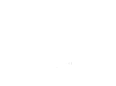 CCCCCCCCCCCCCCCC(C)(O)CCO